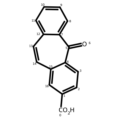 O=C(O)c1ccc2c(=O)c3ccccc3ccc2c1